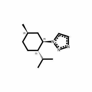 CC(C)[C@@H]1CC[C@@H](C)C[C@H]1n1c[c]nn1